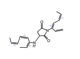 C=C/C(=C\C=C/C)N1C(=O)CC(NC(/C=C\C=C/C)=C/C)C1=O